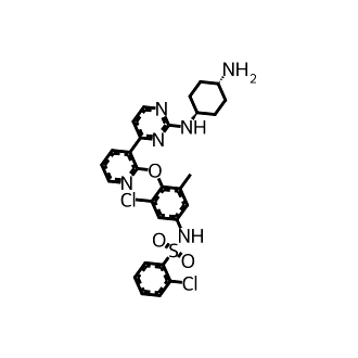 Cc1cc(NS(=O)(=O)c2ccccc2Cl)cc(Cl)c1Oc1ncccc1-c1ccnc(N[C@H]2CC[C@H](N)CC2)n1